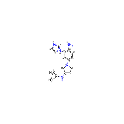 C=C(C)NC1CCN(c2ccc(N)c(-n3ccnc3)c2)C1